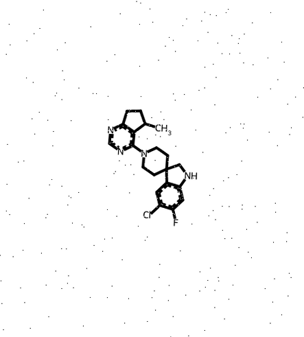 CC1CCc2ncnc(N3CCC4(CC3)CNc3cc(F)c(Cl)cc34)c21